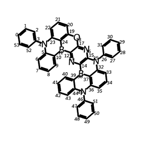 c1ccc(N2c3ccccc3B3c4nc5c(nc4Oc4cccc2c43)N(c2ccccc2)c2cccc3c2B5c2ccccc2N3c2ccccc2)cc1